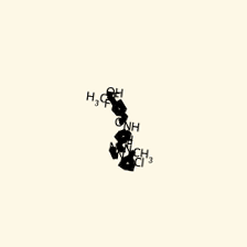 CC(O)C(F)(F)c1ccc(CC(=O)Nc2ccc(-c3nccnc3N[C@@H](C)c3ccccc3Cl)c(F)c2)cc1